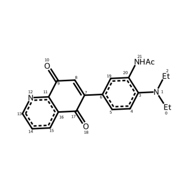 CCN(CC)c1ccc(C2=CC(=O)c3ncccc3C2=O)cc1NC(C)=O